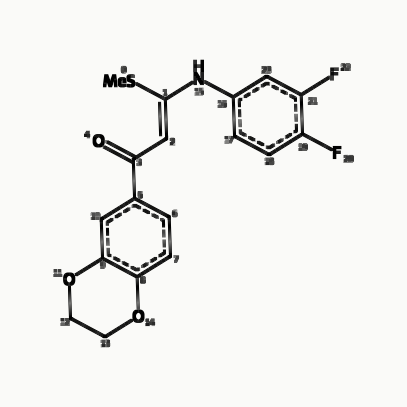 CS/C(=C\C(=O)c1ccc2c(c1)OCCO2)Nc1ccc(F)c(F)c1